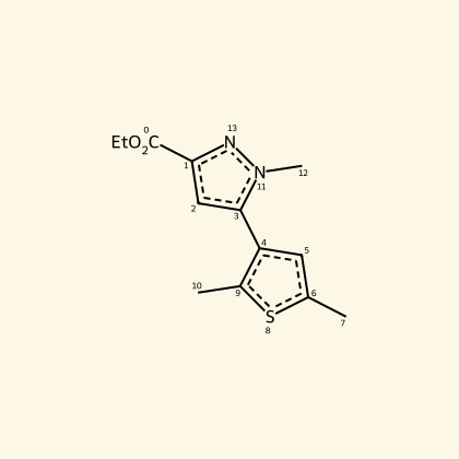 CCOC(=O)c1cc(-c2cc(C)sc2C)n(C)n1